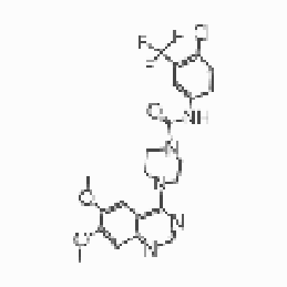 COc1cc2ncnc(N3CCN(C(=O)Nc4ccc(Cl)c(C(F)(F)F)c4)CC3)c2cc1OC